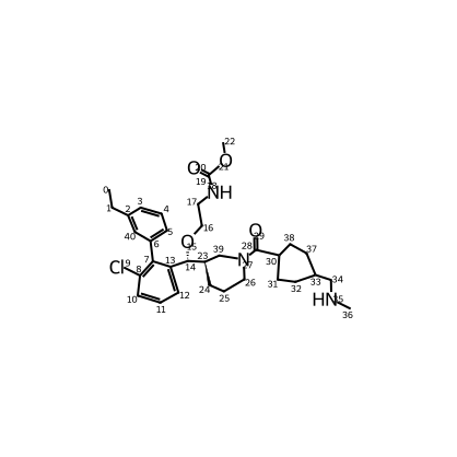 CCc1cccc(-c2c(Cl)cccc2[C@H](OCCNC(=O)OC)[C@@H]2CCCN(C(=O)C3CCC(CNC)CC3)C2)c1